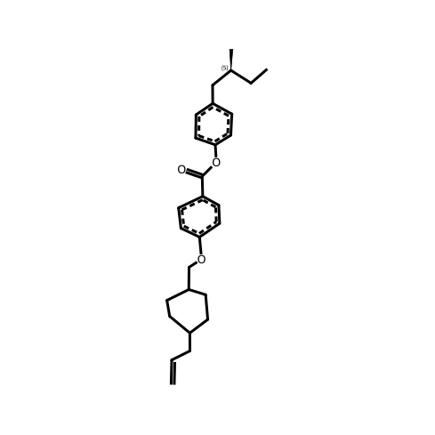 C=CCC1CCC(COc2ccc(C(=O)Oc3ccc(C[C@@H](C)CC)cc3)cc2)CC1